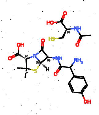 CC(=O)N[C@@H](CS)C(=O)O.CC1(C)S[C@@H]2[C@H](NC(=O)C(N)c3ccc(O)cc3)C(=O)N2[C@H]1C(=O)O